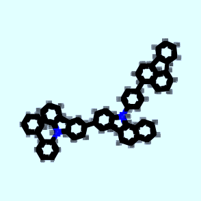 c1ccc(-c2ccccc2-n2c3ccccc3c3cc(-c4ccc5c(c4)c4ccc6ccccc6c4n5-c4ccc(-c5ccc6c7c(cccc57)-c5ccccc5-6)cc4)ccc32)cc1